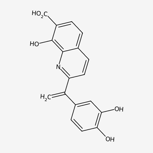 C=C(c1ccc(O)c(O)c1)c1ccc2ccc(C(=O)O)c(O)c2n1